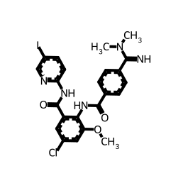 COc1cc(Cl)cc(C(=O)Nc2ccc(I)cn2)c1NC(=O)c1ccc(C(=N)N(C)C)cc1